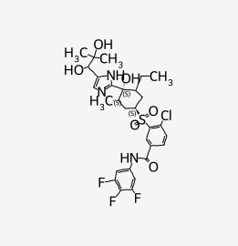 CCC1C[C@@H](S(=O)(=O)c2cc(C(=O)Nc3cc(F)c(F)c(F)c3)ccc2Cl)C[C@H](C)[C@@]1(O)c1ncc(C(O)C(C)(C)O)[nH]1